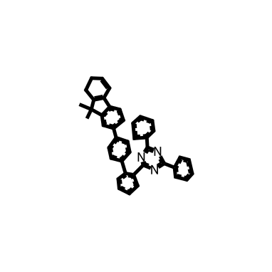 CC1(C)C2=C(C=CCC2)c2ccc(-c3ccc(-c4ccccc4-c4nc(-c5ccccc5)nc(-c5ccccc5)n4)cc3)cc21